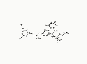 CCCCN(CCc1cc(F)cc(F)c1)Cc1ccc(C(=O)N[C@H](C=O)CCSC)c(-c2ccccc2C)c1